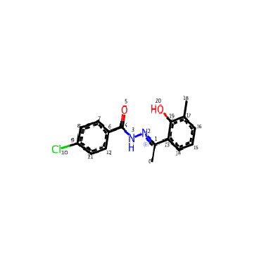 C/C(=N\NC(=O)c1ccc(Cl)cc1)c1cccc(C)c1O